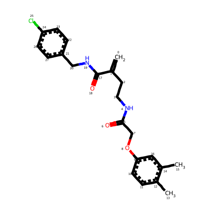 C=C(CCNC(=O)COc1ccc(C)c(C)c1)C(=O)NCc1ccc(Cl)cc1